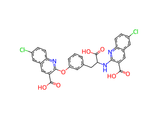 O=C(O)c1cc2cc(Cl)ccc2nc1NC(Cc1cccc(Oc2nc3ccc(Cl)cc3cc2C(=O)O)c1)C(=O)O